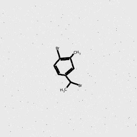 Cc1cc(C(C)Br)ccc1Br